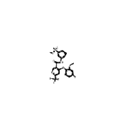 CN=S(C)(=O)c1cccc(NC(=O)c2cnc(C(F)(F)F)cc2Oc2ccc(F)cc2OC)c1